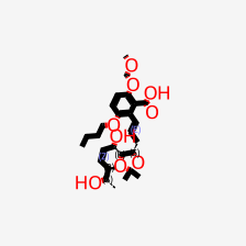 CCCCOc1ccc(OCOC)c(C(=O)O)c1/C=C/C[C@@H]1OC(C)(C)O[C@@H]1C(O)/C=C\[C@@H](C)[C@H](C)O